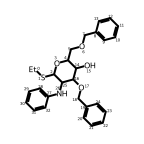 CCSC1OC(COCc2ccccc2)C(O)C(OCc2ccccc2)C1Nc1ccccc1